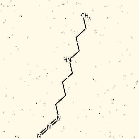 CCCCNCCCCN=[N+]=[N-]